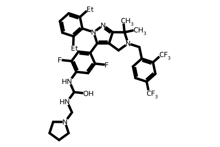 CCc1cccc(CC)c1-n1nc2c(c1-c1cc(F)c(NC(O)NCN3CCCC3)cc1F)CN(Cc1ccc(C(F)(F)F)cc1C(F)(F)F)C2(C)C